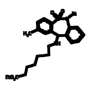 CCOC(=O)CCCCCCNC1c2ccccc2N(CC)S(=O)(=O)c2ccc(C)cc21